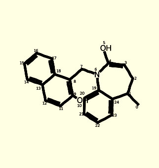 CC1CC=C(O)N(Cc2c(O)ccc3ccccc23)c2ccccc21